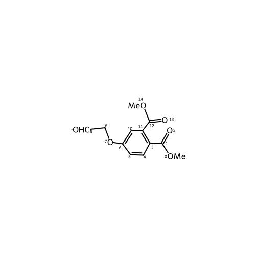 COC(=O)c1ccc(OC[C]=O)cc1C(=O)OC